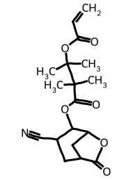 C=CC(=O)OC(C)(C)C(C)(C)C(=O)OC1C(C#N)CC2CC1OC2=O